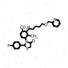 Cc1c(N2C(=O)CSC2c2ccc(F)cc2)ccc(C(=O)O)c1CCCCCOCc1ccccn1